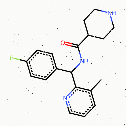 Cc1cccnc1C(NC(=O)C1CCNCC1)c1ccc(F)cc1